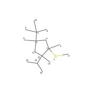 CSC1(C)CC(C)(C(C)(C)C)CC1(C)C(C)C